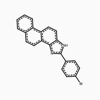 Brc1ccc(-c2nc3c(ccc4c5ccccc5ccc43)[nH]2)cc1